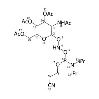 CC(=O)NC1C(ONOP(OCCC#N)N(C(C)C)C(C)C)OC(COC(C)=O)C(OC(C)=O)C1OC(C)=O